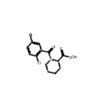 COC(=O)C1CCCCN1C(=O)c1cc(Cl)ccc1Cl